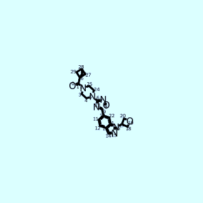 O=C(N1CCN(c2noc(-c3ccc4cnn(C5COC5)c4c3)n2)CC1)C12CC(C1)C2